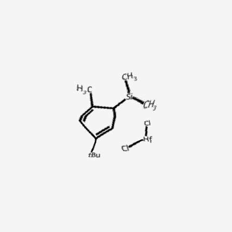 CC1=CC(C(C)(C)C)=CC1[Si](C)C.[Cl][Hf][Cl]